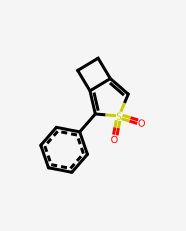 O=S1(=O)C=C2CCC2=C1c1ccccc1